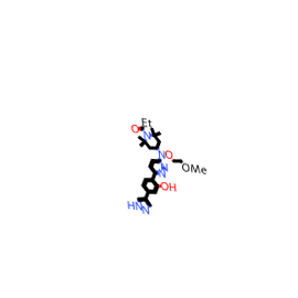 CCC(=O)N1C(C)(C)CC(N(OCCOC)c2ccc(-c3ccc(-c4cn[nH]c4)cc3O)nn2)CC1(C)C